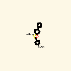 CCCCCCCCc1ccc(C(=S)OC2(SCCCCCC)C=CC(c3ccccc3)C=C2)cc1